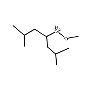 CO[SiH2]C(CC(C)C)CC(C)C